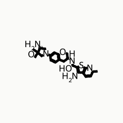 Cc1ccc2c(N)c(C(O)N[C@H]3COc4cc(N5C[C@@H](N)C6(COC6)C5)ccc4C3)sc2n1